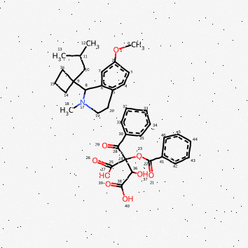 COc1ccc2c(c1)C(C1(CC(C)C)CCC1)N(C)CC2.O=C(OC(C(=O)O)(C(=O)c1ccccc1)C(O)C(=O)O)c1ccccc1